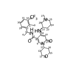 Cc1c(C(C)NC(=O)c2cn(C3CCOCC3)c(=O)cc2N[C@@H]2CCCN(C)C2)cccc1C(F)(F)F